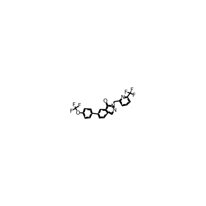 O=c1c2cc(-c3ccc(OC(F)(F)F)cc3)ccc2cnn1Cc1cccc(C(F)(F)F)n1